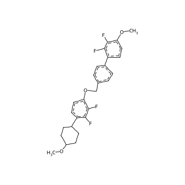 COc1ccc(-c2ccc(COc3ccc(C4CCC(OC)CC4)c(F)c3F)cc2)c(F)c1F